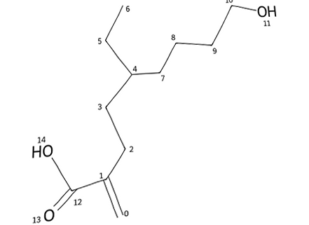 C=C(CCC(CC)CCCCO)C(=O)O